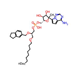 CCCCCCCCCCCCCCCCCOC[C@H](COP(=O)(O)OC[C@H]1O[C@@](C)(c2ccc3c(N)ncnn23)[C@H](O)[C@@H]1O)OCc1ccc2c(c1)CCC2